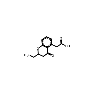 CCC1CC(=O)c2c(CC(=O)O)cccc2O1